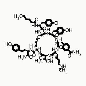 CCCCCC(=O)N[C@@H](Cc1ccc(Cl)cc1)C(=O)N[C@@H]1CSSC[C@@H](C(=O)N[C@H](CCc2ccc(O)cc2)C(N)=O)NC(=O)[C@H]([C@@H](C)O)NC(=O)[C@H](CCCCNC)NC(=O)[C@@H](Cc2ccc(C(N)=O)cc2)NC(=O)[C@H](Cc2ccc(O)cc2)NC1=O